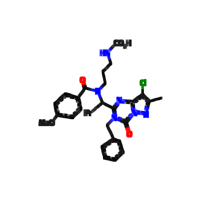 COc1ccc(C(=O)N(CCCNC(=O)O)C(c2nc3c(Cl)c(C)nn3c(=O)n2Cc2ccccc2)C(C)C)cc1